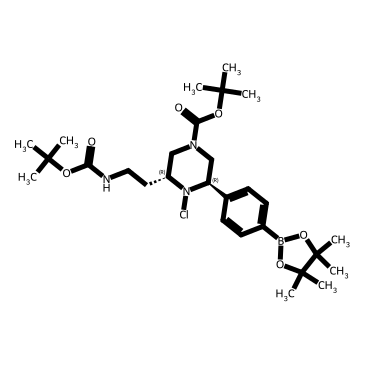 CC(C)(C)OC(=O)NCC[C@@H]1CN(C(=O)OC(C)(C)C)C[C@@H](c2ccc(B3OC(C)(C)C(C)(C)O3)cc2)N1Cl